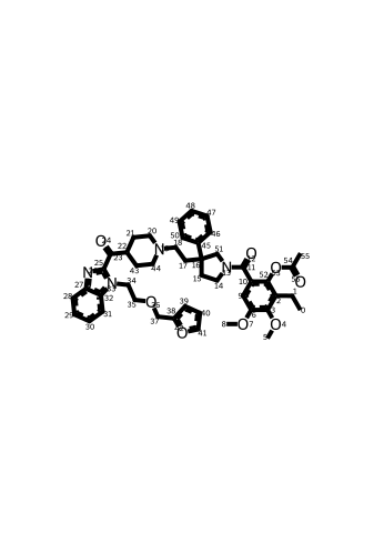 CCc1c(OC)c(OC)cc(C(=O)N2CCC(CCN3CCC(C(=O)c4nc5ccccc5n4CCOCc4ccco4)CC3)(c3ccccc3)C2)c1OC(C)=O